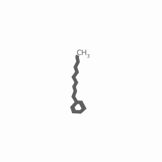 CCCCCCCCCCC1C=CCC=C1